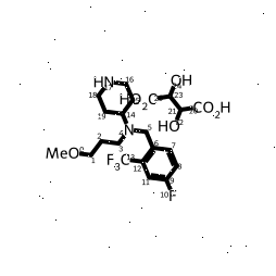 COCCCN(Cc1ccc(F)cc1C(F)(F)F)C1CCNCC1.O=C(O)C(O)C(O)C(=O)O